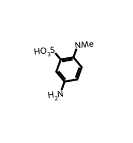 CNc1ccc(N)cc1S(=O)(=O)O